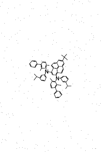 Cc1ccc(-c2ccccc2)c(C)c1N(c1cccc(C(C)C)c1)c1cc(N(c2cccc(C(C)C)c2)c2c(C)ccc(-c3ccccc3)c2C)c2ccc3cc(C(C)(C)C)cc4ccc1c2c43